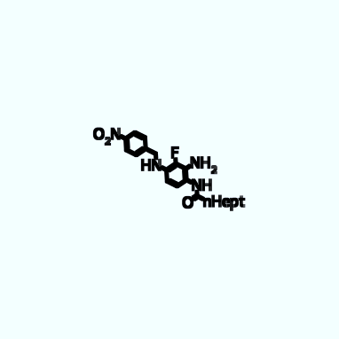 CCCCCCCC(=O)Nc1ccc(NCc2ccc([N+](=O)[O-])cc2)c(F)c1N